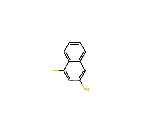 Fc1cc(S)cc2ccccc12